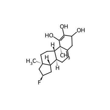 C[C@]12CC[C@H]3[C@@H](CC=C4CC(O)C(O)=C(O)[C@@]43C)[C@@H]1C[C@@H](F)C2